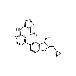 Cn1nccc1Nc1nccc(-c2ccc3c(c2)C(O)N(CC2CC2)C3)n1